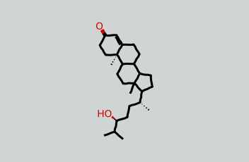 CC(C)[C@@H](O)CC[C@@H](C)C1CCC2C3CCC4=CC(=O)CC[C@]4(C)C3CCC21C